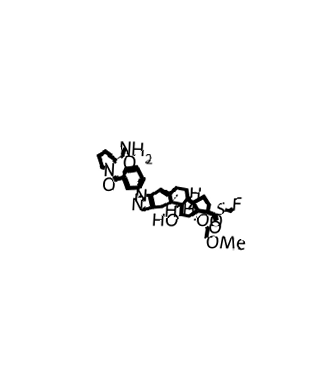 COCC(=O)O[C@]1(C(=O)SCF)CC[C@H]2[C@@H]3CCC4=Cc5c(cnn5-c5cccc(C(=O)N6CCC[C@@H]6C(N)=O)c5)C[C@]4(C)[C@H]3[C@@H](O)C[C@@]21C